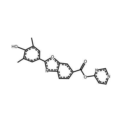 Cc1cc(-c2nc3ccc(C(=O)Oc4ccncn4)cc3o2)cc(C)c1O